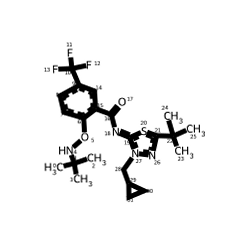 CC(C)(C)NOc1ccc(C(F)(F)F)cc1C(=O)N=c1sc(C(C)(C)C)nn1CC1CC1